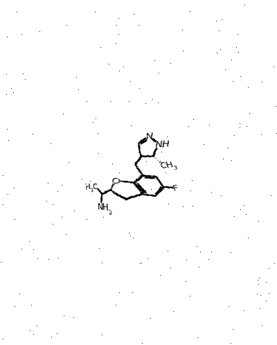 CC(N)C1Cc2cc(F)cc(CC3C=NN[C@@H]3C)c2O1